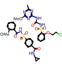 COc1ccccc1C(=O)NS(=O)(=O)c1ccc(C(=O)NC2CC2)cc1.COc1nc(C)nc(NC(=O)NS(=O)(=O)c2ccccc2OCCCl)n1